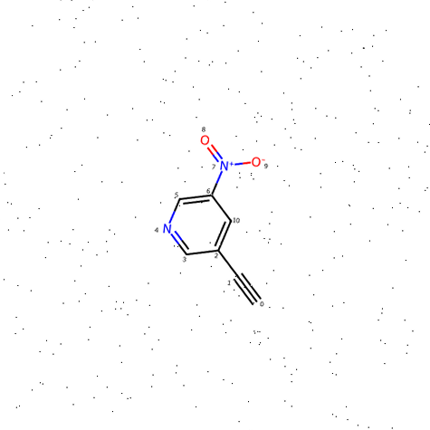 C#Cc1cncc([N+](=O)[O-])c1